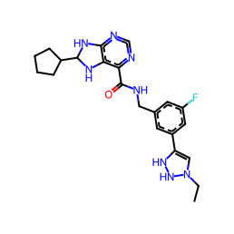 CCN1C=C(c2cc(F)cc(CNC(=O)c3ncnc4c3NC(C3CCCC3)N4)c2)NN1